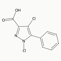 O=C(O)c1nn(Cl)c(-c2ccccc2)c1Cl